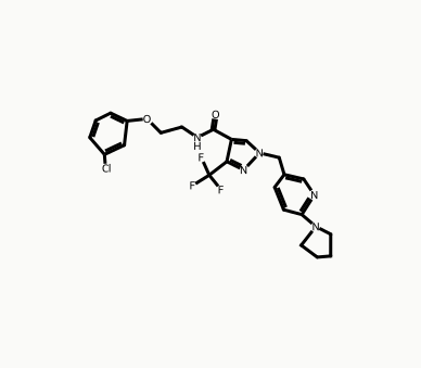 O=C(NCCOc1cccc(Cl)c1)c1cn(Cc2ccc(N3CCCC3)nc2)nc1C(F)(F)F